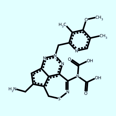 COc1c(C)cnc(Cn2nc3cc(CN)c4c-3c(n2)C(N(C(=O)O)C(=O)O)=NSC4)c1C